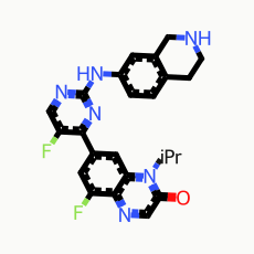 CC(C)n1c(=O)cnc2c(F)cc(-c3nc(Nc4ccc5c(c4)CNCC5)ncc3F)cc21